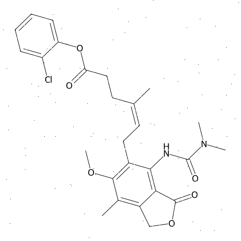 COc1c(C)c2c(c(NC(=O)N(C)C)c1CC=C(C)CCC(=O)Oc1ccccc1Cl)C(=O)OC2